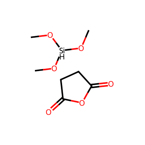 CO[SiH](OC)OC.O=C1CCC(=O)O1